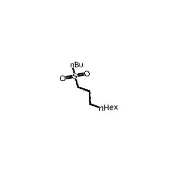 CCCCCCCCCS(=O)(=O)CCCC